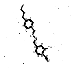 CCCCc1ccc(C=NN=Cc2ccc(C#N)c(F)c2)cc1